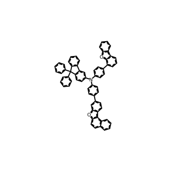 c1ccc(C2(c3ccccc3)c3ccccc3-c3cc(N(c4ccc(-c5ccc6c(c5)oc5ccc7ccccc7c56)cc4)c4ccc(-c5cccc6c5oc5ccccc56)cc4)ccc32)cc1